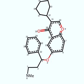 CNCCC(Oc1ccc2occ(C3CCCCC3)c(=O)c2c1)c1ccccc1